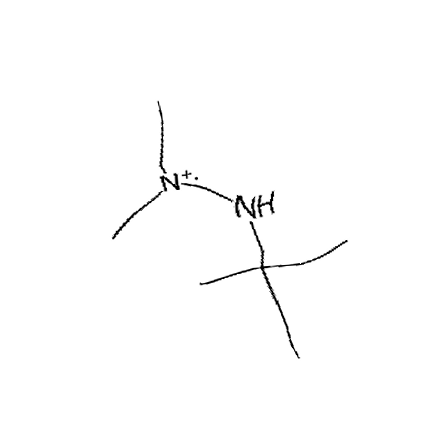 C[N+](C)NC(C)(C)C